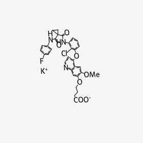 COc1cc2c(Oc3cccc(NC(=O)C4(C(=O)Nc5ccc(F)cc5)CC4)c3Cl)ccnc2cc1OCCCC(=O)[O-].[K+]